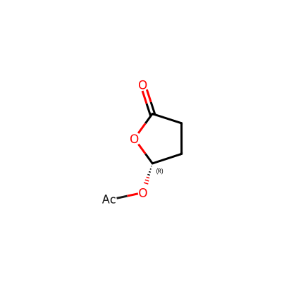 CC(=O)O[C@H]1CCC(=O)O1